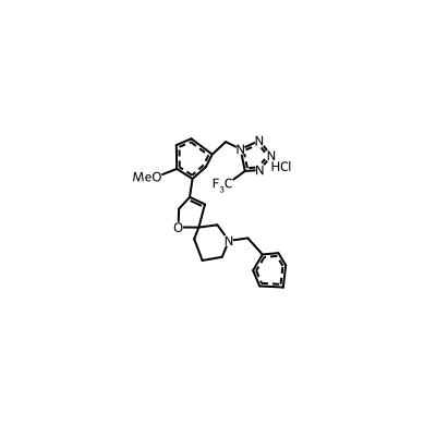 COc1ccc(Cn2nnnc2C(F)(F)F)cc1C1=CC2(CCCN(Cc3ccccc3)C2)OC1.Cl